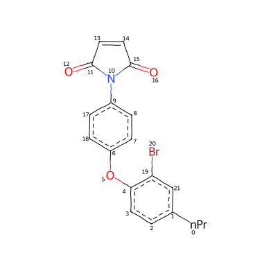 CCCc1ccc(Oc2ccc(N3C(=O)C=CC3=O)cc2)c(Br)c1